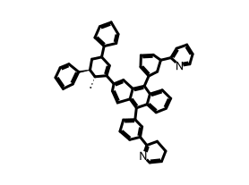 C[C@H]1C(c2ccc3c(-c4cccc(C5=NC=CCC5)c4)c4ccccc4c(C4=CC=CC(c5ccccn5)C4)c3c2)=CC(c2ccccc2)C[C@@H]1c1ccccc1